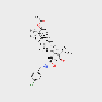 CC(=O)O[C@H]1CC[C@]2(C)[C@H]3CC[C@@H]4C5=C(C(C)C)C(=O)C[C@]5(C(O)CNCc5ccc(Cl)cc5)CC[C@@]4(C)[C@]3(C)CC[C@H]2C1(C)C